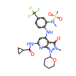 CN(c1cc(C(F)(F)F)ccc1Nc1cc(NC(=O)C2CC2)nc2c1c(=O)n(C)n2C1CCCCO1)S(C)(=O)=O